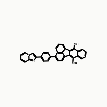 CC(C)(C)c1c2c(c(C(C)(C)C)c3ccccc13)-c1ccc(-c3ccc(-c4cn5ccccc5n4)cc3)c3cccc-2c13